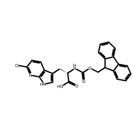 O=C(N[C@@H](Cc1c[nH]c2nc(Cl)ccc12)C(=O)O)OCC1c2ccccc2-c2ccccc21